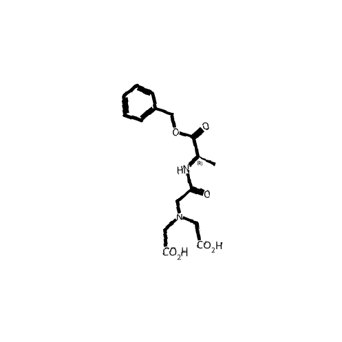 C[C@@H](NC(=O)CN(CC(=O)O)CC(=O)O)C(=O)OCc1ccccc1